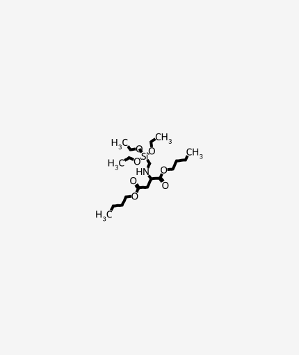 CCCCOC(=O)CC(NC[Si](OCC)(OCC)OCC)C(=O)OCCCC